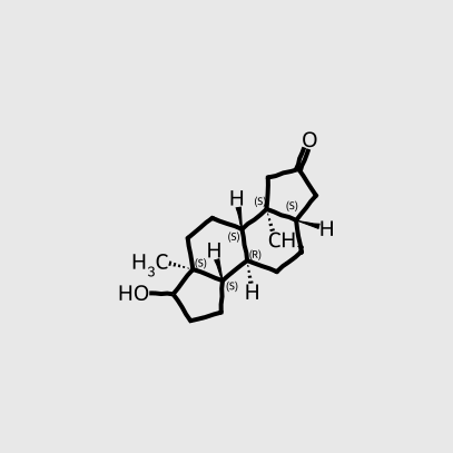 C[C@]12CC(=O)C[C@@H]1CC[C@@H]1[C@@H]2CC[C@]2(C)C(O)CC[C@@H]12